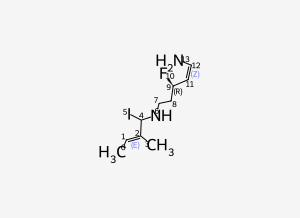 C/C=C(\C)C(I)NCC[C@@H](F)/C=C\N